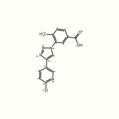 Cc1ccc(C(=O)O)cc1-n1cc(-c2ccc(Cl)nc2)nn1